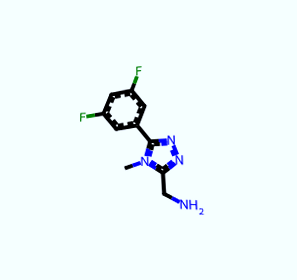 Cn1c(CN)nnc1-c1cc(F)cc(F)c1